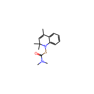 CC1=CC(C)(C)N(SC(=O)N(C)C)c2ccccc21